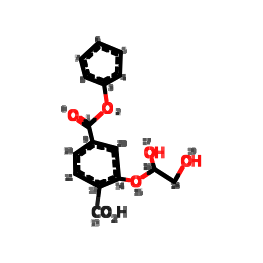 O=C(Oc1ccccc1)c1ccc(C(=O)O)c(OC(O)CO)c1